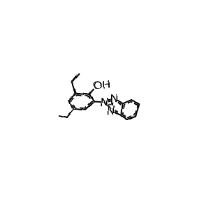 CCc1cc(CC)c(O)c(-n2n3c4ccccc4n23)c1